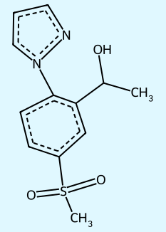 CC(O)c1cc(S(C)(=O)=O)ccc1-n1cccn1